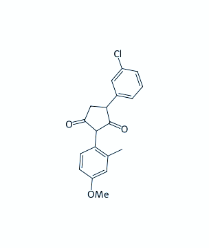 COc1ccc(C2C(=O)CC(c3cccc(Cl)c3)C2=O)c(C)c1